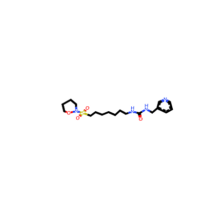 O=C(NCCCCCCCS(=O)(=O)N1CCCCO1)NCc1cccnc1